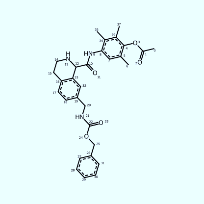 CC(=O)Oc1c(C)cc(NC(=O)C2NCCc3ccc(CNC(=O)OCc4ccccc4)cc32)c(C)c1C